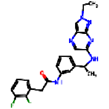 CCn1cc2ncc(N[C@@H](C)c3cccc(NC(=O)Cc4cccc(F)c4F)c3)nc2n1